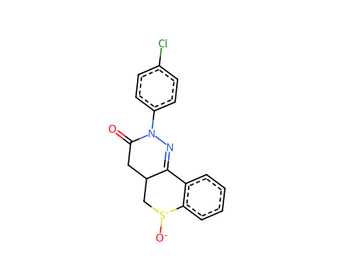 O=C1CC2C[S+]([O-])c3ccccc3C2=NN1c1ccc(Cl)cc1